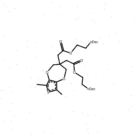 CCCCCCCCCCCCOC(=O)CC1(CC(=O)OCCCCCCCCCCCC)COc2c(C)sc(C)c2OC1